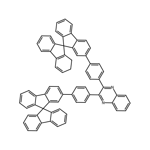 C1=CC2=C(CC1)C1(c3ccccc32)c2ccccc2-c2ccc(-c3ccc(-c4nc5ccccc5nc4-c4ccc(-c5ccc6c(c5)C5(c7ccccc7-c7ccccc75)c5ccccc5-6)cc4)cc3)cc21